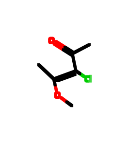 COC(C)=C(Cl)C(C)=O